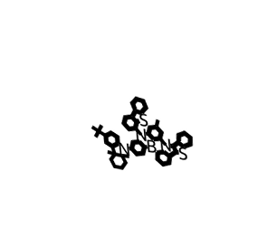 Cc1cc2c3c(c1)-n1c4c(cccc4c4sc5ccccc5c41)B3c1ccc(N3c4ccc(C(C)(C)C)cc4C4(C)CCCCC34C)cc1N2c1cccc2c1sc1ccccc12